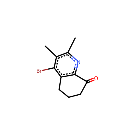 Cc1nc2c(c(Br)c1C)CCCC2=O